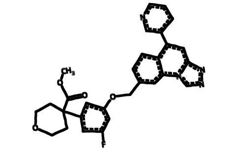 COC(=O)C1(c2cc(F)cc(OCc3ccc4c(-c5cccnc5)cc5nncn5c4c3)c2)CCOCC1